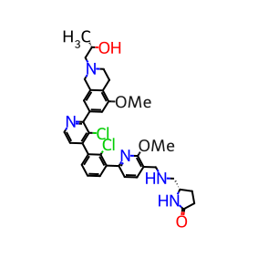 COc1cc(-c2nccc(-c3cccc(-c4ccc(CNC[C@@H]5CCC(=O)N5)c(OC)n4)c3Cl)c2Cl)cc2c1CCN(C[C@H](C)O)C2